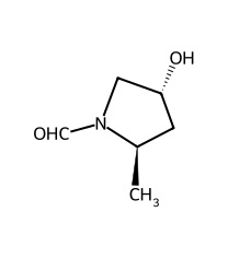 C[C@@H]1C[C@@H](O)CN1C=O